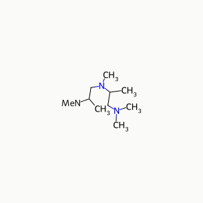 CNC(C)CN(C)C(C)CN(C)C